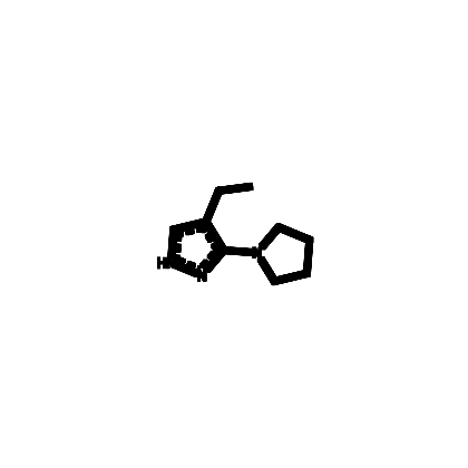 CCc1c[nH]nc1N1CCCC1